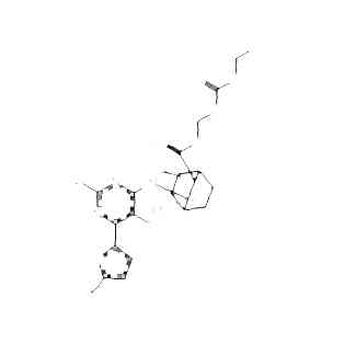 CCOC(=O)OCOC(=O)[C@@H]1C2CCC(CC2)[C@H]1Nc1nc(Br)nc(-c2ccc(Cl)s2)c1F